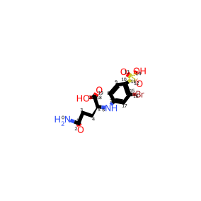 NC(=O)CC[C@H](Nc1ccc(S(=O)(=O)O)c(Br)c1)C(=O)O